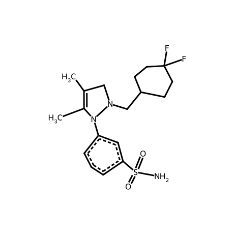 CC1=C(C)N(c2cccc(S(N)(=O)=O)c2)N(CC2CCC(F)(F)CC2)C1